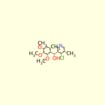 COc1cc(C)c(C(O)c2c(Cl)ncc(C)c2Cl)c(OC)c1OC